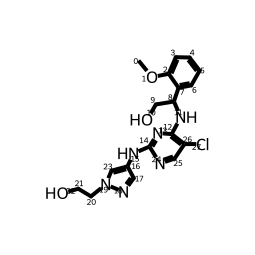 COc1ccccc1C(CO)Nc1nc(Nc2cnn(CCO)c2)ncc1Cl